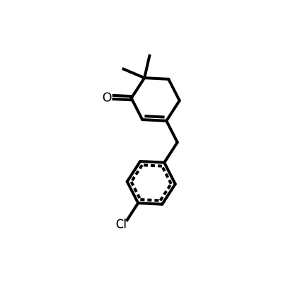 CC1(C)CCC(Cc2ccc(Cl)cc2)=CC1=O